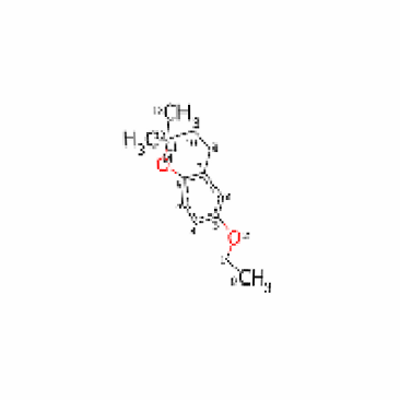 CCOc1ccc2c(c1)CCC(C)(C)O2